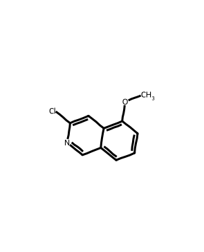 COc1cccc2cnc(Cl)cc12